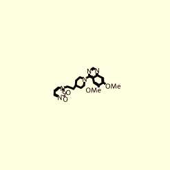 COc1cc2ncnc(N3CCC(CCN4C=CC=NS4(=O)=O)CC3)c2cc1OC